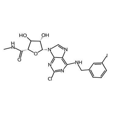 CNC(=O)[C@H]1O[C@@H](n2cnc3c(NCc4cccc(I)c4)nc(Cl)nc32)[C@@H](O)C1O